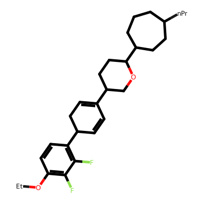 CCCC1CCCC(C2CCC(C3=CCC(c4ccc(OCC)c(F)c4F)C=C3)CO2)CC1